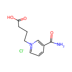 NC(=O)c1ccc[n+](CCCC(=O)O)c1.[Cl-]